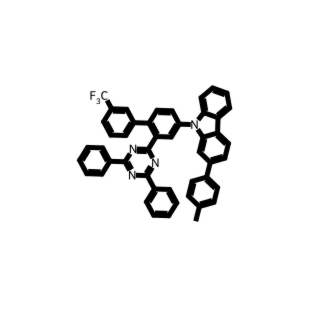 Cc1ccc(-c2ccc3c4ccccc4n(-c4ccc(-c5cccc(C(F)(F)F)c5)c(-c5nc(-c6ccccc6)nc(-c6ccccc6)n5)c4)c3c2)cc1